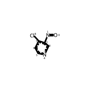 O=Nc1cnccc1Cl